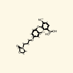 N#Cc1ccc(B(O)O)cc1Oc1ccc(OCCCN2CCOC2=O)cc1F